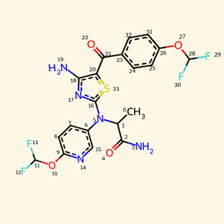 CC(C(N)=O)N(c1ccc(OC(F)F)nc1)c1nc(N)c(C(=O)c2ccc(OC(F)F)cc2)s1